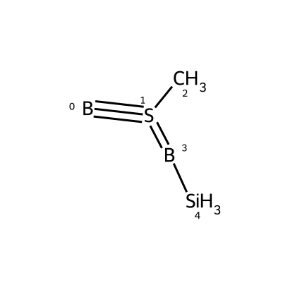 B#S(C)=B[SiH3]